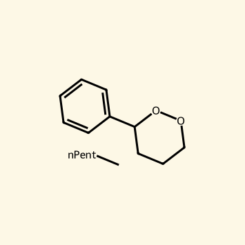 CCCCCC.c1ccc(C2CCCOO2)cc1